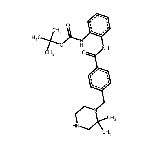 CC(C)(C)OC(=O)Nc1ccccc1NC(=O)c1ccc(CN2CCNCC2(C)C)cc1